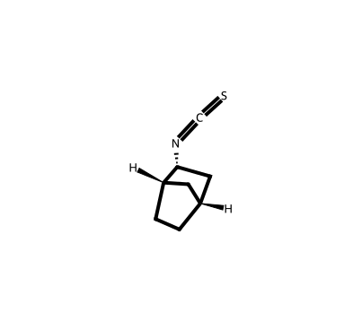 S=C=N[C@@H]1C[C@@H]2CC[C@H]1C2